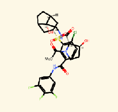 COC(=O)N1CC[C@H](O)[C@H]1C(=O)NC[C@@]1(O)C2CC[C@H]1C[C@H](S(=O)(=O)c1cc(C(=O)Nc3cc(F)c(F)c(F)c3)ccc1Cl)C2